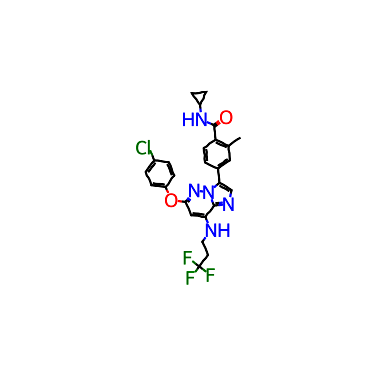 Cc1cc(-c2cnc3c(NCCC(F)(F)F)cc(Oc4ccc(Cl)cc4)nn23)ccc1C(=O)NC1CC1